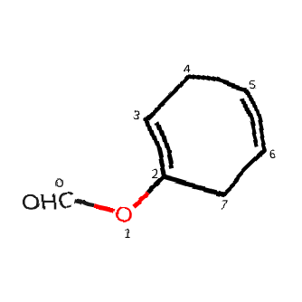 O=COC1=CCC=CC1